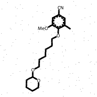 COc1cc(C#N)cc(C)c1OCCCCCCOC1CCCCO1